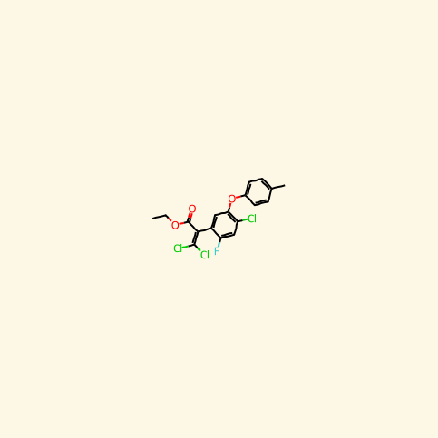 CCOC(=O)C(=C(Cl)Cl)c1cc(Oc2ccc(C)cc2)c(Cl)cc1F